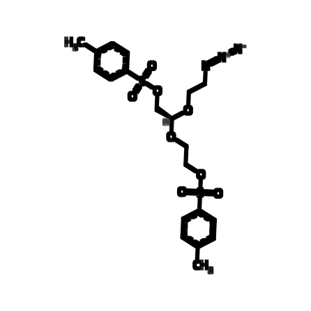 Cc1ccc(S(=O)(=O)OCCO[C@@H](COS(=O)(=O)c2ccc(C)cc2)OCCN=[N+]=[N-])cc1